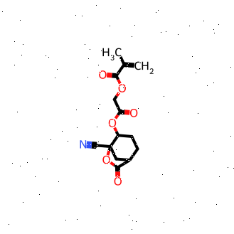 C=C(C)C(=O)OCC(=O)OC1CCC2CC1(C#N)OC2=O